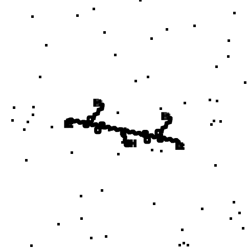 CC/C=C\CCCCOC(CCC(=O)OCCCCCCN(CCCO)CCCCCCOC(=O)CCC(OCCCC/C=C\CC)OCCCC/C=C\CC)OCCCC/C=C\CC